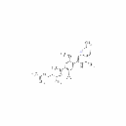 C=C/C=C(\C=C/F)/C=C(\NC=C)c1cc(C2CC2)c(N(C)OC(C)CCOC(=C)C)cc1OC